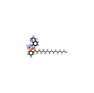 CCCCCCCCCCCCCCCCc1ccccc1S(=O)(=O)Nc1cccc2cccnc12